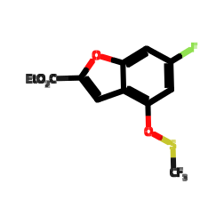 CCOC(=O)c1cc2c(OSC(F)(F)F)cc(F)cc2o1